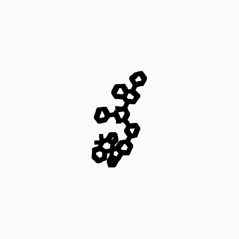 CC1(C)c2ccccc2C2(c3ccccc3-c3ccc(-c4cccc(-c5cc(-c6ccc(-c7ccccc7)c7ccccc67)nc(-c6ccccc6)n5)c4)cc32)c2ccccc21